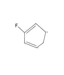 FC1=C[C]C[C]=C1